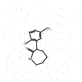 O=C1NCCCCC1c1cc([N+](=O)[O-])ccc1Cl